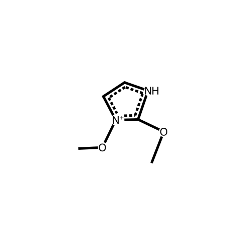 COc1[nH]cc[n+]1OC